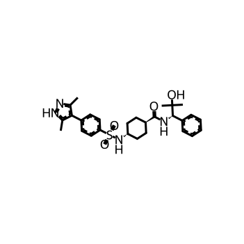 Cc1n[nH]c(C)c1-c1ccc(S(=O)(=O)N[C@H]2CC[C@H](C(=O)N[C@@H](c3ccccc3)C(C)(C)O)CC2)cc1